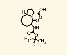 CC(C)(C)OC(=O)N[C@H]1CCCC[C@@H]2CC[C@@H](C(=O)O)N2C1=O